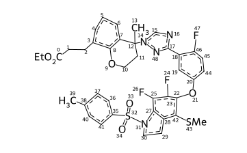 CCOC(=O)CCc1cccc2c1OCCC2(C)n1cnc(-c2cc(Oc3c(F)c(F)c4c(ccn4S(=O)(=O)c4ccc(C)cc4)c3SC)ccc2F)n1